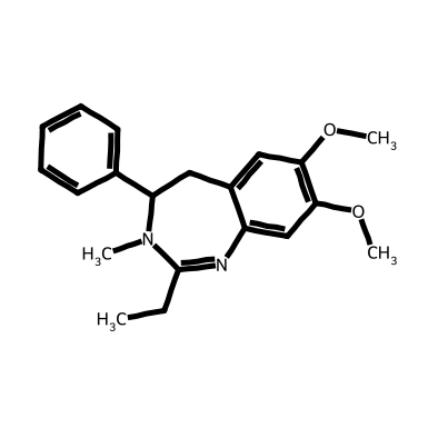 CCC1=Nc2cc(OC)c(OC)cc2CC(c2ccccc2)N1C